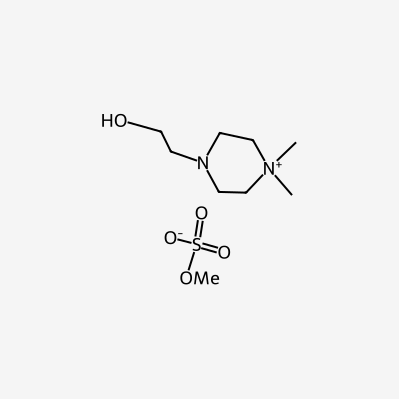 COS(=O)(=O)[O-].C[N+]1(C)CCN(CCO)CC1